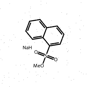 COS(=O)(=O)c1cccc2ccccc12.[NaH]